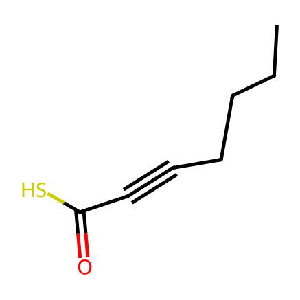 CCCCC#CC(=O)S